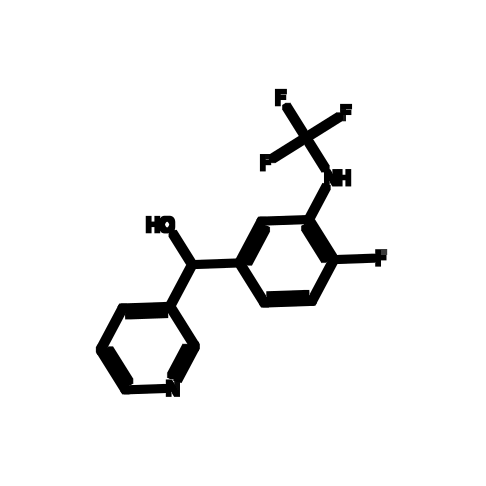 OC(c1cccnc1)c1ccc(F)c(NC(F)(F)F)c1